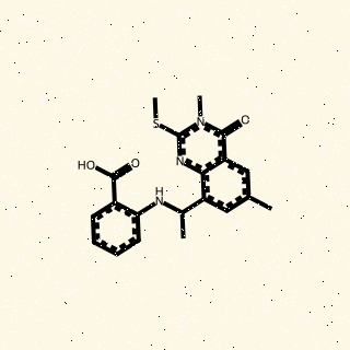 CSc1nc2c(C(C)Nc3ccccc3C(=O)O)cc(C)cc2c(=O)n1C